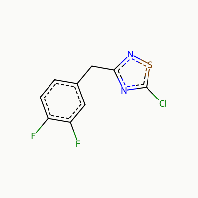 Fc1ccc(Cc2nsc(Cl)n2)cc1F